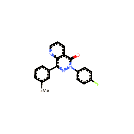 CSc1cccc(-c2nn(-c3ccc(F)cc3)c(=O)c3cccnc23)c1